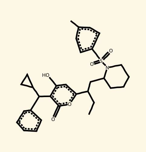 CCC(CC1CCCCN1S(=O)(=O)c1ccc(C)cc1)c1cc(O)c(C(c2ccccc2)C2CC2)c(=O)o1